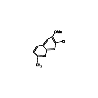 COc1cc2ccc(C)cc2cc1Cl